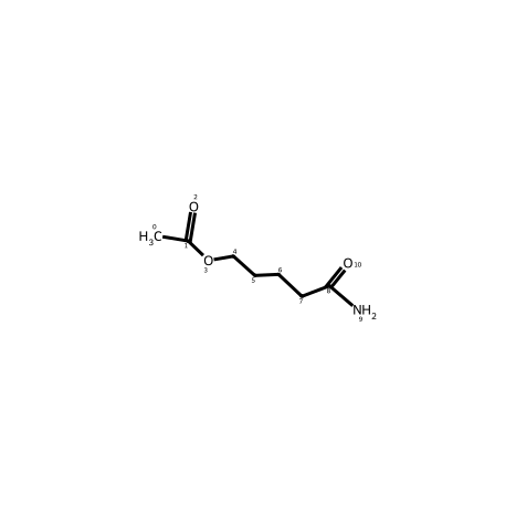 CC(=O)OCCCCC(N)=O